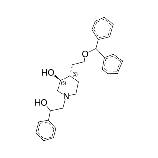 OC(CN1CC[C@@H](CCOC(c2ccccc2)c2ccccc2)[C@H](O)C1)c1ccccc1